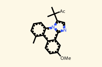 COc1ccc2c(c1)c1ncc(C(C)(C)C(C)=O)n1c1cccc(C)c21